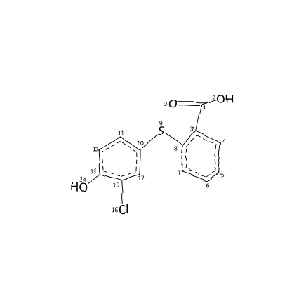 O=C(O)c1ccccc1Sc1ccc(O)c(Cl)c1